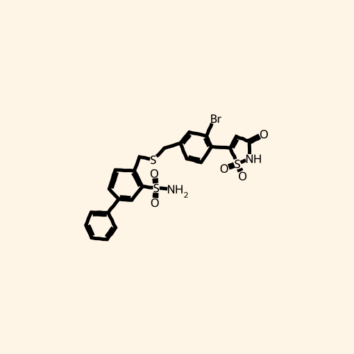 NS(=O)(=O)c1cc(-c2ccccc2)ccc1CSCc1ccc(C2=CC(=O)NS2(=O)=O)c(Br)c1